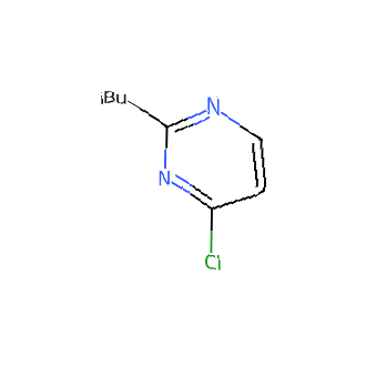 CCC(C)c1nccc(Cl)n1